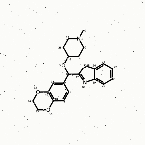 CN1CCC(OC(c2ccc3c(c2)OCCO3)c2nc3ccccc3s2)CC1